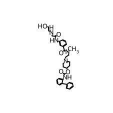 CN(CCN1CCC(OC(=O)Nc2ccccc2-c2ccccc2)CC1)C(=O)c1cccc(NC(=O)CNCCO)c1